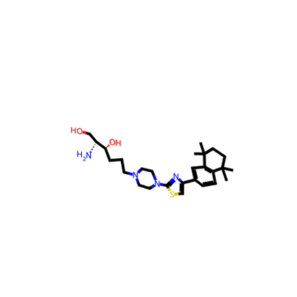 CC1(C)CCC(C)(C)c2cc(-c3csc(N4CCN(CCC[C@@H](O)[C@H](N)CO)CC4)n3)ccc21